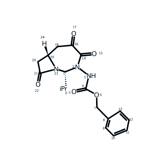 CC(C)[C@H]1N(NC(=O)OCc2ccccc2)C(=O)C(=O)C[C@H]2CC(=O)N21